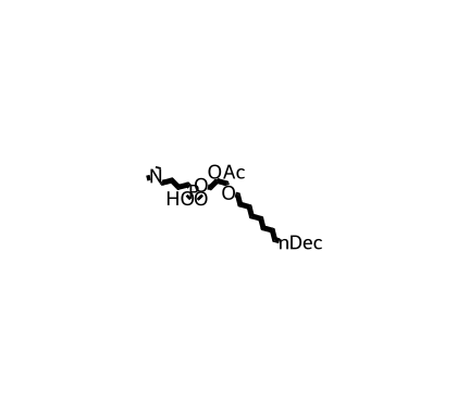 CCCCCCCCCCCCCCCCCCOCC(COP(=O)(O)CCCCN(C)C)OC(C)=O